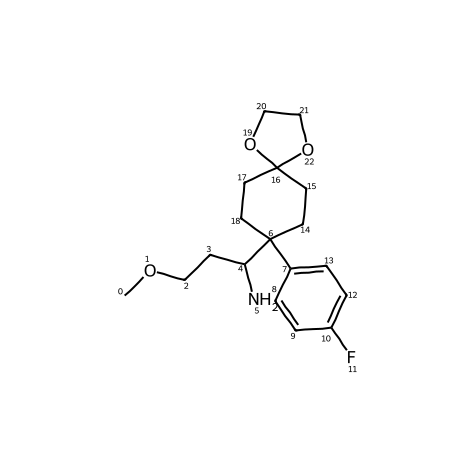 COCCC(N)C1(c2ccc(F)cc2)CCC2(CC1)OCCO2